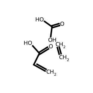 C=C.C=CC(=O)O.O=C(O)O